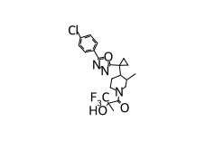 CC1CN(C(=O)[C@@](C)(O)C(F)(F)F)CCC1C1(c2nnc(-c3ccc(Cl)cc3)o2)CC1